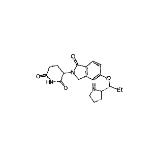 CCC(Oc1ccc2c(c1)CN(C1CCC(=O)NC1=O)C2=O)C1CCCN1